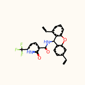 C=Cc1ccc2c(c1)Oc1cccc(C=C)c1C2NC(=O)c1ccc(C(F)(F)F)[nH]c1=O